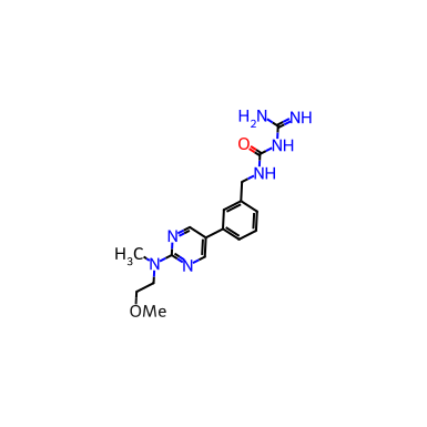 COCCN(C)c1ncc(-c2cccc(CNC(=O)NC(=N)N)c2)cn1